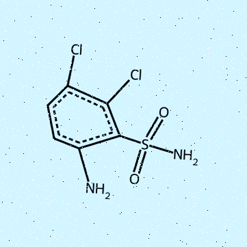 Nc1ccc(Cl)c(Cl)c1S(N)(=O)=O